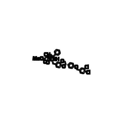 CC[C@H](N[C@@H](Cc1ccc2c(c1)OC[C@H](c1ccc(OCc3ccc(Cl)c(Cl)c3)cc1)O2)C(=O)NC(C)C(=O)OC)c1ccccc1